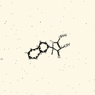 CC(=O)NC1=C(O)C(=O)C(C)(c2ccc3ccccc3c2)O1